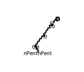 CCCCCC(CCCCC)CCOC(=O)CCCCCCCC(=O)CCCCCCCC(=O)OCCC12CCC(CC1)CC2